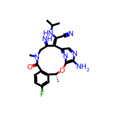 CC(C)N/C(C#N)=C1\C(=N)CN(C)C(=O)c2ccc(F)cc2[C@@H](C)Oc2nc1cnc2N